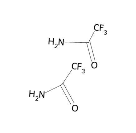 NC(=O)C(F)(F)F.NC(=O)C(F)(F)F